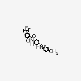 Cc1ccc(NC[C@H]2CC[C@H](NC(=O)c3cc(C(F)(F)F)ccc3Cl)CC2)nc1